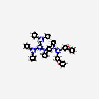 c1ccc(-c2nc(-c3ccccc3)nc(-c3nc(-c4nc(-c5ccccc5)nc(-c5ccccc5)n4)nc(-n4c5ccccc5c5cc6c(cc54)c4ccccc4n6-c4nc(-c5ccc6oc7ccccc7c6c5)nc(-c5ccc6oc7ccccc7c6c5)n4)n3)n2)cc1